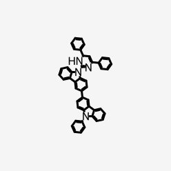 C1=C(c2ccccc2)N=C(n2c3ccccc3c3cc(-c4ccc5c(c4)c4ccccc4n5-c4ccccc4)ccc32)NC1c1ccccc1